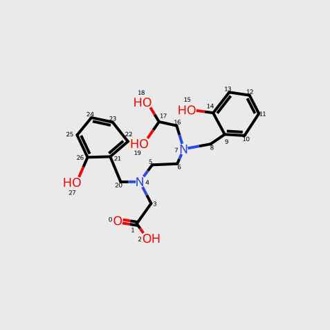 O=C(O)CN(CCN(Cc1ccccc1O)CC(O)O)Cc1ccccc1O